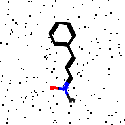 CC(C)/[N+]([O-])=C/C=C/c1ccccc1